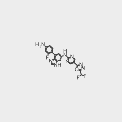 Nc1ccc(-c2cc(Nc3ncc(-c4nnc(C(F)F)o4)cn3)cc3[nH]cnc23)c(F)c1